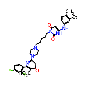 CCc1cc(Nc2cc(=O)n(CCCCCN3CCN(C4=NC(c5ccc(F)cc5F)=C(C(=O)O)C(=O)C4)CC3)c(=O)[nH]2)ccc1C